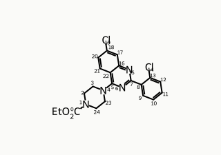 CCOC(=O)N1CCN(c2nc(-c3ccccc3Cl)nc3cc(Cl)ccc23)CC1